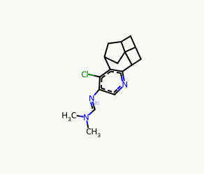 CN(C)/C=N/c1cnc2c(c1Cl)C1CC3CC4CC2C34C1